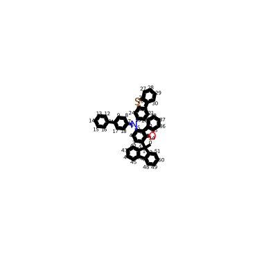 CC1(c2ccc(N(c3ccc(-c4ccccc4)cc3)c3ccc4c(c3)sc3ccccc34)c3c2oc2ccccc23)c2ccccc2-c2ccccc21